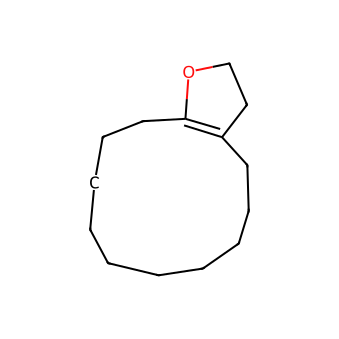 C1CCCCCC2=C(CCCC1)CCO2